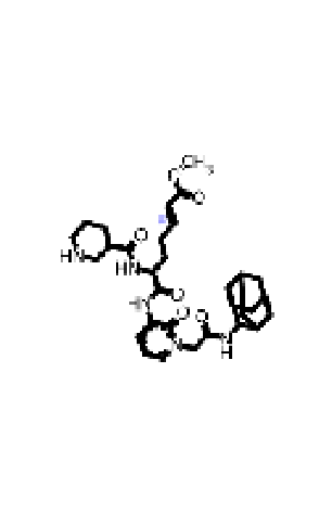 COC(=O)/C=C/CCC(NC(=O)C1CCCNC1)C(=O)Nc1cccn(CC(=O)NC2C3CC4CC(C3)CC2C4)c1=O